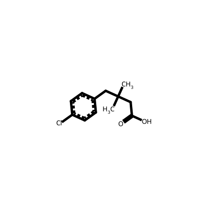 CC(C)(CC(=O)O)Cc1ccc(Cl)cc1